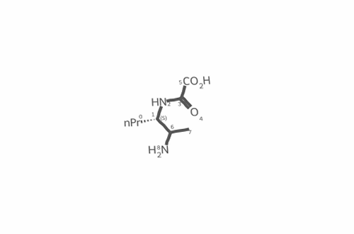 CCC[C@H](NC(=O)C(=O)O)C(C)N